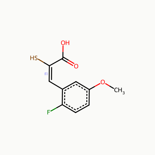 COc1ccc(F)c(/C=C(/S)C(=O)O)c1